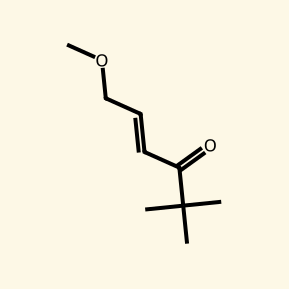 COC/C=C/C(=O)C(C)(C)C